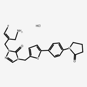 Cl.NC/C(=C\F)Cn1ncn(Cc2ccc(-c3ccc(N4CCCC4=O)cc3)s2)c1=O